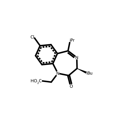 CCC(C)[C@@H]1N=C(C(C)C)c2cc(Cl)ccc2N(CC(=O)O)C1=O